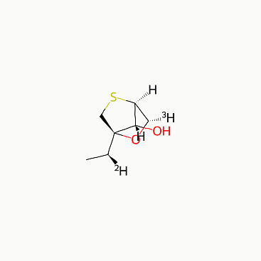 [2H][C@@H](C)[C@@]12CS[C@@H]([C@H]([3H])O1)[C@@H]2O